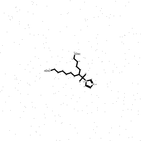 CCCCCCCCCCCCCCCCC(CCCCCCCCCCCCCC)C(C)(C)n1ccnc1